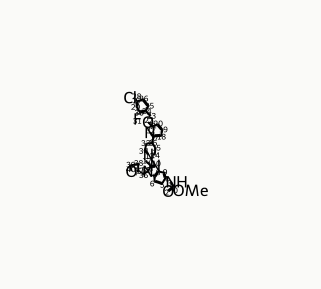 COC(=O)Nc1ccc2c(c1)nc(CN1CCC(c3cccc(OCc4ccc(Cl)cc4F)n3)CC1)n2C[C@@H]1CCO1